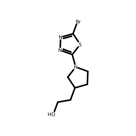 OCCC1CCN(c2nnc(Br)s2)C1